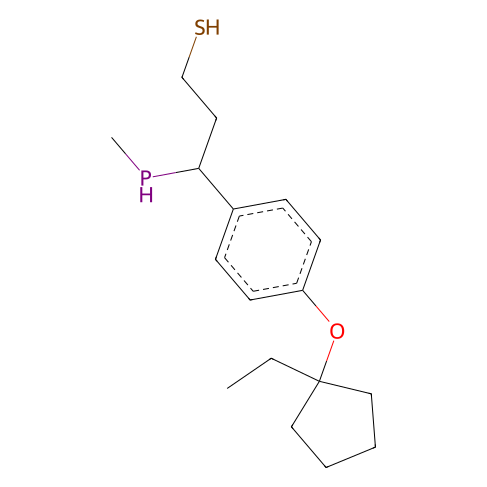 CCC1(Oc2ccc(C(CCS)PC)cc2)CCCC1